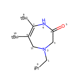 CC(C)CN1CC(=O)NC(C(C)(C)C)=C(C(C)(C)C)C1